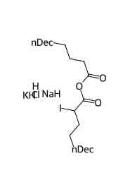 CCCCCCCCCCCCCC(=O)OC(=O)C(I)CCCCCCCCCCCC.Cl.[KH].[NaH]